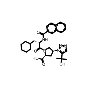 CC(C)(O)c1cnnn1[C@H]1C[C@@H](C(=O)O)N(C(=O)[C@H](CC2CCCCC2)NC(=O)c2ccc3ccccc3c2)C1